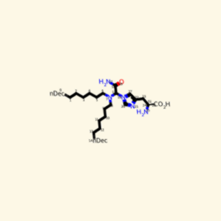 CCCCCCCCCCCCCCCCN(CCCCCCCCCCCCCCCC)C(C(N)=O)n1cnc(C[C@H](N)C(=O)O)c1